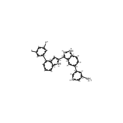 Cc1cc(F)cc(-c2cccc3[nH]c(-c4n[nH]c5ccc(-c6cncc(N)c6)cc45)cc23)c1